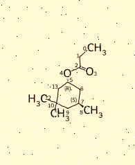 CCC(=O)O[C@@H]1C[C@@H](C)CC(C)(C)C1